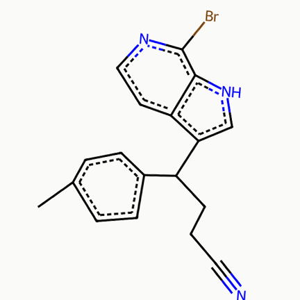 Cc1ccc(C(CCC#N)c2c[nH]c3c(Br)nccc23)cc1